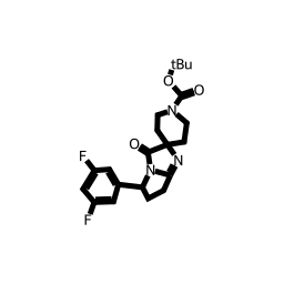 CC(C)(C)OC(=O)N1CCC2(CC1)N=C1CCC(c3cc(F)cc(F)c3)N1C2=O